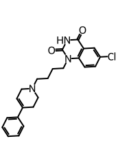 O=c1[nH]c(=O)n(CCCCN2CC=C(c3ccccc3)CC2)c2ccc(Cl)cc12